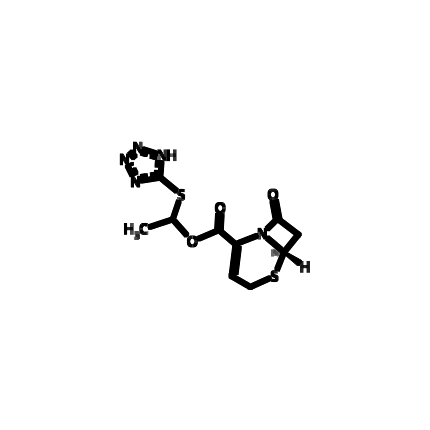 CC(OC(=O)C1=CCS[C@H]2CC(=O)N12)Sc1nnn[nH]1